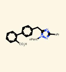 CCCCCn1nc(CCC)nc1Cc1ccc(-c2ccccc2C(=O)O)cc1